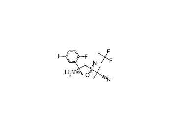 CC(C)(C#N)[S@@](=O)(C[C@](C)(N)c1cc(I)ccc1F)=NCC(F)(F)F